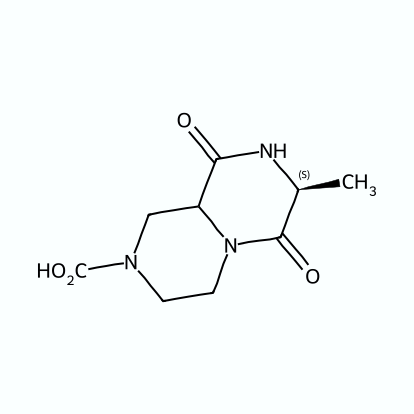 C[C@@H]1NC(=O)C2CN(C(=O)O)CCN2C1=O